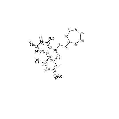 CCC1=C(C(=O)CCC2CCCCCC2)C(c2ccc(OC(C)=O)cc2Cl)NC(=O)N1